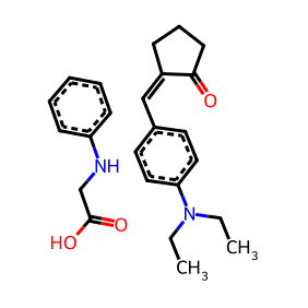 CCN(CC)c1ccc(C=C2CCCC2=O)cc1.O=C(O)CNc1ccccc1